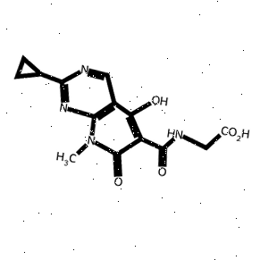 Cn1c(=O)c(C(=O)NCC(=O)O)c(O)c2cnc(C3CC3)nc21